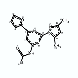 CCC(=O)Nc1cc(-c2ccco2)nc(-n2nc(C)cc2C)n1